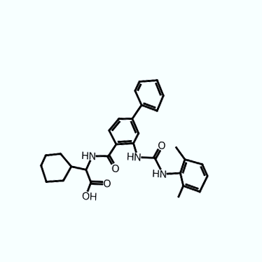 Cc1cccc(C)c1NC(=O)Nc1cc(-c2ccccc2)ccc1C(=O)NC(C(=O)O)C1CCCCC1